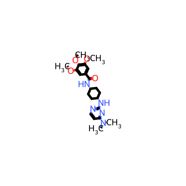 COc1cc(C(=O)N[C@H]2CC[C@@H](Nc3nccc(N(C)C)n3)CC2)cc(OC)c1OC